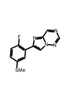 CSc1ccc(F)c(-c2cn3ncncc3n2)c1